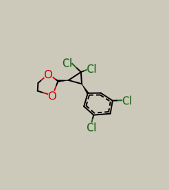 Clc1cc(Cl)cc([C@H]2[C@@H](C3OCCO3)C2(Cl)Cl)c1